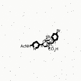 CC(=O)Nc1ccc([C@H](CN(CCc2ccc(Br)cc2)C(=O)O)O[Si](C)(C)C(C)(C)C)cn1